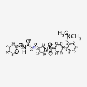 CN(C)Cc1ccccc1-c1ccc(S(=O)(=O)n2ccc(/C=C/C(=O)NOC3CCCCO3)c2)cc1